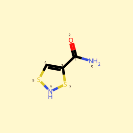 NC(=O)C1=CSNS1